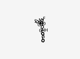 O=C(N[C@H]1CC[C@@H](n2c(=O)c3cc(F)cnc3n(C3CCSCC3)c2=O)CC1)c1ccc(OCc2ccccc2)cc1